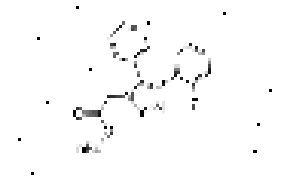 CCCCOC(=O)Cn1nnc(-c2ccccc2F)c1-c1ccccc1